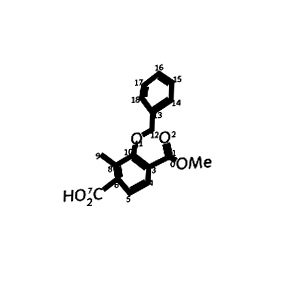 COC(=O)c1ccc(C(=O)O)c(C)c1OCc1ccccc1